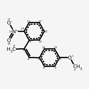 COc1ccc(C=C(C)c2ccccc2[N+](=O)[O-])cc1